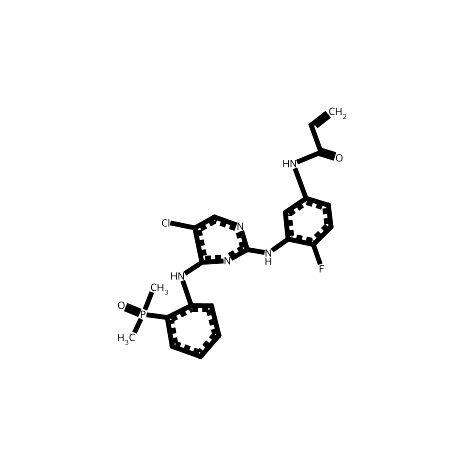 C=CC(=O)Nc1ccc(F)c(Nc2ncc(Cl)c(Nc3ccccc3P(C)(C)=O)n2)c1